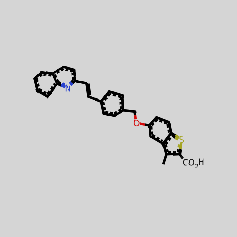 Cc1c(C(=O)O)sc2ccc(OCc3ccc(C=Cc4ccc5ccccc5n4)cc3)cc12